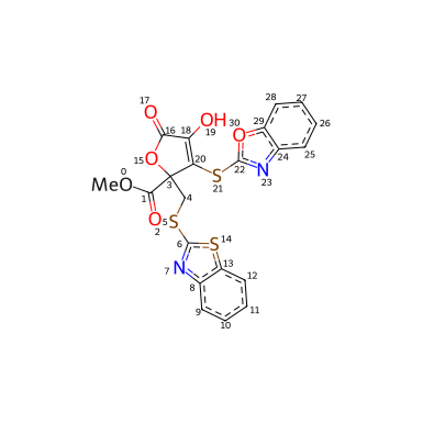 COC(=O)C1(CSc2nc3ccccc3s2)OC(=O)C(O)=C1Sc1nc2ccccc2o1